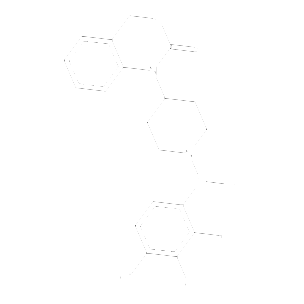 O=C1OCc2ccccc2N1C1CCN([S+]([O-])c2ccc(Cl)c(Cl)c2Cl)CC1